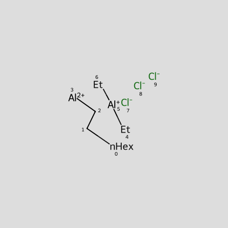 CCCCCCC[CH2][Al+2].C[CH2][Al+][CH2]C.[Cl-].[Cl-].[Cl-]